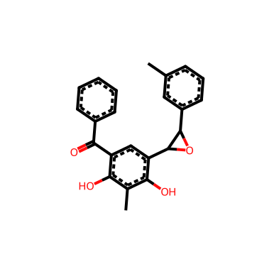 Cc1cccc(C2OC2c2cc(C(=O)c3ccccc3)c(O)c(C)c2O)c1